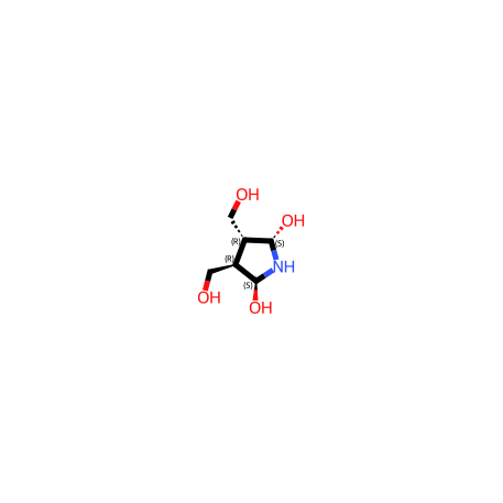 OC[C@H]1[C@H](CO)[C@H](O)N[C@H]1O